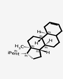 CCC[C@@H](C)[C@H]1CC[C@H]2[C@@H]3CCC4CC=CC[C@@H]4[C@H]3CC[C@]12C